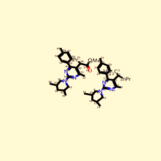 CCCC(C(=O)O)c1c(C)nc(N2CC(C)CC(C)C2)nc1-c1ccc(C)cc1.CCCC(C(=O)OC)c1c(C)nc(N2CC(C)CC(C)C2)nc1-c1ccc(C)cc1